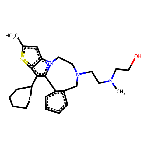 CN(CCO)CCN1CCn2c(c(C3CCCCC3)c3sc(C(=O)O)cc32)-c2ccccc2C1